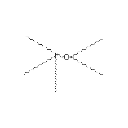 CCCCCCCCCCCCCCN(CCCCCCCCCCCCCC)N(CCCCCCCCCCCCCC)CCN1CCN(N(CCCCCCCCCCCCCC)CCCCCCCCCCCCCC)CC1